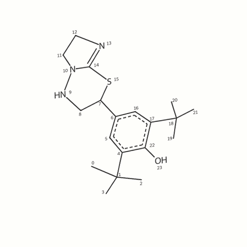 CC(C)(C)c1cc(C2CNN3CCN=C3S2)cc(C(C)(C)C)c1O